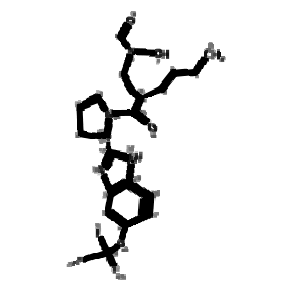 CCCC[C@H](CN(O)C=O)C(=O)N1CCC[C@H]1c1nc2cc(OC(F)(F)F)ccc2[nH]1